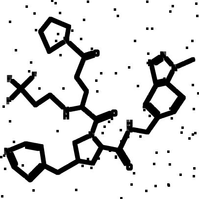 Cn1nnc2cc(CNC(=O)C3CC(Cc4ccncc4)CN3C(=O)C(CCC(=O)N3CCCC3)NCCC(F)(F)F)ccc21